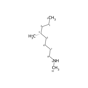 CCC[C@@H](C)CCCCNC